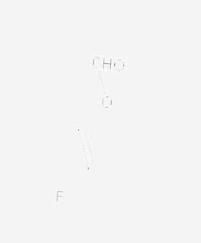 O=COC=CF